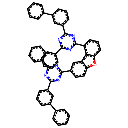 c1ccc(-c2cccc(-c3nc(-c4ccccc4)nc(-c4ccc5oc6cccc(-c7nc(-c8ccccc8)nc(-c8cccc(-c9ccccc9)c8)n7)c6c5c4)n3)c2)cc1